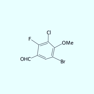 COc1c(Br)cc(C=O)c(F)c1Cl